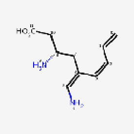 C=C/C=C\C(=C/N)C[C@H](N)CC(=O)O